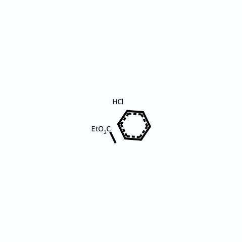 CCOC(C)=O.Cl.c1ccccc1